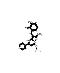 COc1cc(-c2ccncc2)nc2c(Cc3cccc(Cl)c3Cl)c(C)nn12